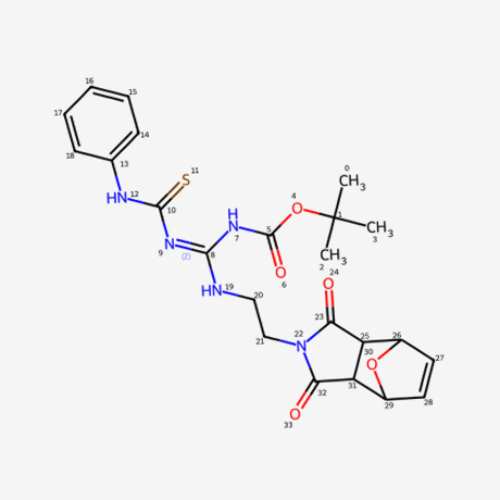 CC(C)(C)OC(=O)N/C(=N\C(=S)Nc1ccccc1)NCCN1C(=O)C2C3C=CC(O3)C2C1=O